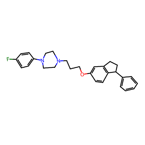 Fc1ccc(N2CCN(CCCOc3ccc4c(c3)CCC4c3ccccc3)CC2)cc1